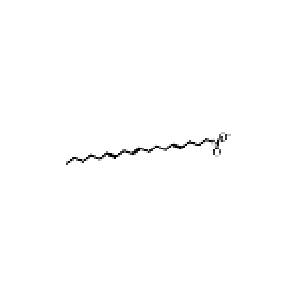 CCCCCC=CCC=CCCCC=CCCC[N+](=O)[O-]